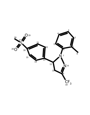 Cc1ccccc1N1N=C(C(F)(F)F)CC1c1ccc(S(C)(=O)=O)cc1